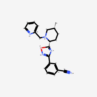 C[C@@H]1CC[C@H](c2nc(-c3cccc(C#N)c3)no2)N(Cc2ccccn2)C1